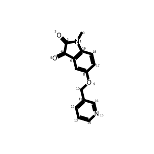 CN1C(=O)C(=O)c2cc(OCc3cccnc3)ccc21